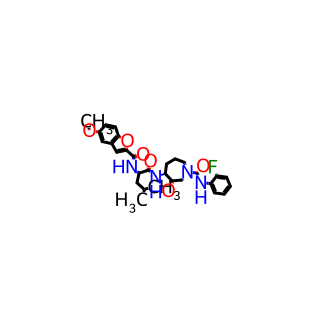 COc1ccc2oc(C(=O)NC(CC(C)C)C(=O)N[C@H]3CCCN(C(=O)Nc4ccccc4F)CC3=O)cc2c1